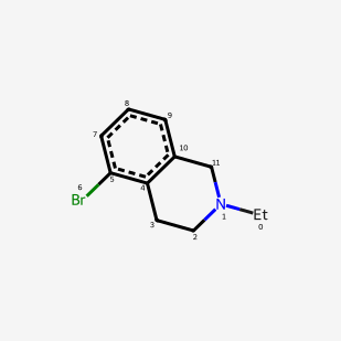 CCN1CCc2c(Br)cccc2C1